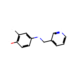 N#Cc1cc(NCc2cccnc2)ccc1O